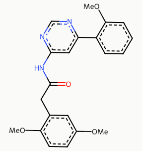 COc1ccc(OC)c(CC(=O)Nc2cc(-c3ccccc3OC)ncn2)c1